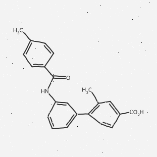 Cc1ccc(C(=O)Nc2cccc(-c3ccc(C(=O)O)cc3C)c2)cc1